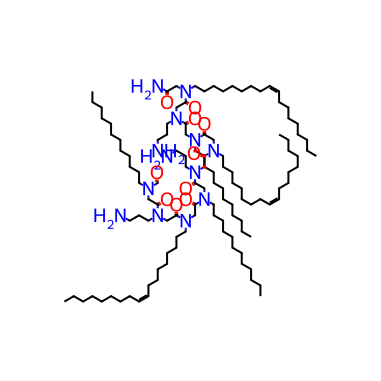 CCCCCCCC/C=C\CCCCCCCCN(CC(N)=O)C(=O)CN(CCCN)C(=O)CN(CCCCCCCCCCCC)C(=O)CN(CCCCCCCC/C=C\CCCCCCCC)C(=O)CN(CCCN)C(=O)CN(CCCCCCCCCCCC)C(=O)CN(CCCCCCCC/C=C\CCCCCCCC)C(=O)CN(CCCN)C(=O)CN(C=O)CCCCCCCCCCCC